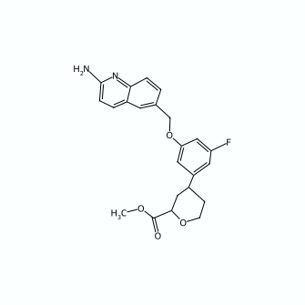 COC(=O)C1CC(c2cc(F)cc(OCc3ccc4nc(N)ccc4c3)c2)CCO1